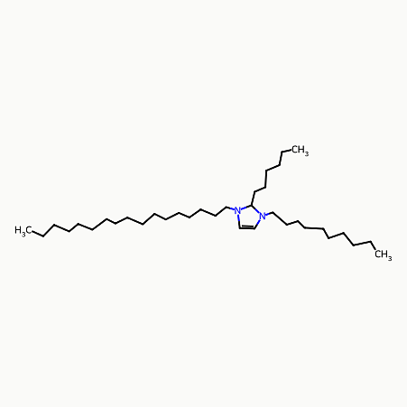 CCCCCCCCCCCCCCCCCN1C=CN(CCCCCCCCCC)C1CCCCCC